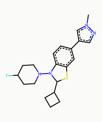 Cn1cc(-c2ccc3c(c2)SC(C2CCC2)N3N2CCC(F)CC2)cn1